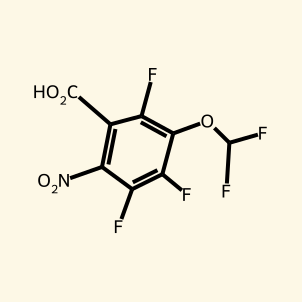 O=C(O)c1c(F)c(OC(F)F)c(F)c(F)c1[N+](=O)[O-]